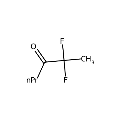 CCCC(=O)C(C)(F)F